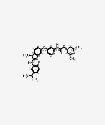 CC(C)c1ccc(F)c(Nc2nc3cc(Oc4ccnc(NC(=O)CN5C[C@@H](C)O[C@@H](C)C5)c4)ccc3n2C)c1